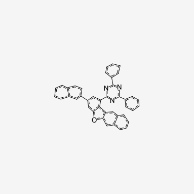 c1ccc(-c2nc(-c3ccccc3)nc(-c3cc(-c4ccc5ccccc5c4)cc4oc5cc6ccccc6cc5c34)n2)cc1